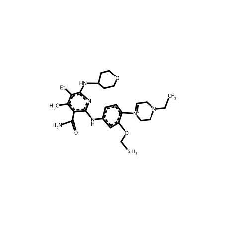 CCc1c(NC2CCOCC2)nc(Nc2ccc([N+]3=CCN(CC(F)(F)F)CC3)c(OC[SiH3])c2)c(C(N)=O)c1C